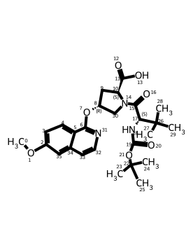 COc1ccc2c(O[C@@H]3C[C@@H](C(=O)O)N(C(=O)[C@@H](NC(=O)OC(C)(C)C)C(C)(C)C)C3)nccc2c1